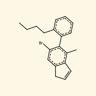 CCCCc1ccccc1-c1c(Br)cc2c(c1C)C=CC2